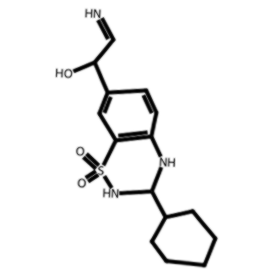 N=CC(O)c1ccc2c(c1)S(=O)(=O)NC(C1CCCCC1)N2